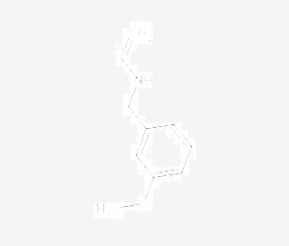 C=CNCc1cccc(OC)c1